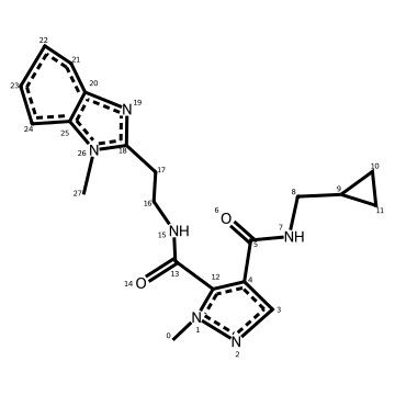 Cn1ncc(C(=O)NCC2CC2)c1C(=O)NCCc1nc2ccccc2n1C